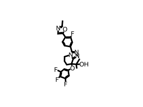 Cc1ncc(-c2ccc(-c3nnc4n3CCCC4(Oc3cc(F)c(F)c(F)c3)C(C)(C)O)cc2F)o1